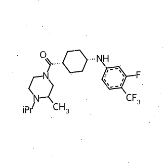 CC(C)N1CCN(C(=O)[C@H]2CC[C@@H](Nc3ccc(C(F)(F)F)c(F)c3)CC2)CC1C